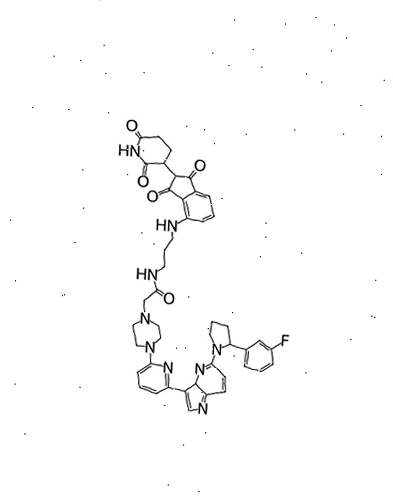 O=C(CN1CCN(c2cccc(C3=CN=C4C=CC(N5CCCC5c5cccc(F)c5)=NC34)n2)CC1)NCCCNc1cccc2c1C(=O)C(C1CCC(=O)NC1=O)C2=O